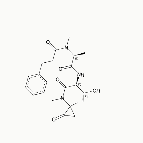 C[C@@H](O)[C@H](NC(=O)[C@H](C)N(C)C(=O)CCc1ccccc1)C(=O)N(C)C1(C)CC1=O